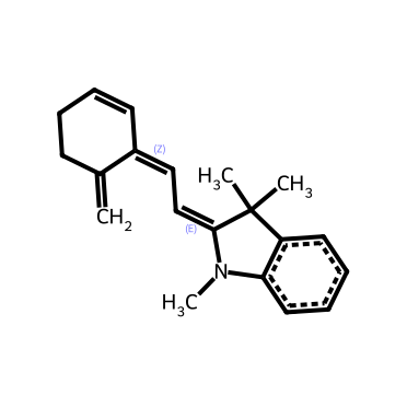 C=C1CCC=C/C1=C/C=C1/N(C)c2ccccc2C1(C)C